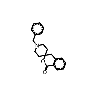 O=C1OC2(CCN(Cc3ccccc3)CC2)Cc2ccccc21